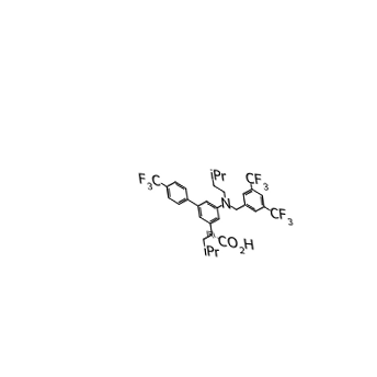 CC(C)CCN(Cc1cc(C(F)(F)F)cc(C(F)(F)F)c1)c1cc(-c2ccc(C(F)(F)F)cc2)cc([C@@H](CC(C)C)C(=O)O)c1